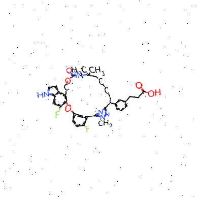 Cn1nc2nc1-c1cc(ccc1F)Oc1c(F)cc3[nH]ccc3c1COC(=O)NC(C)(C)CCCCC2c1cccc(CCC(=O)O)c1